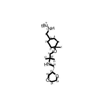 CC(C)(C)NCC1CCC(C)(OCC(C)(C)NC[C@H]2COCCO2)CC1